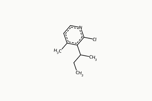 CCC(C)c1c(C)ccnc1Cl